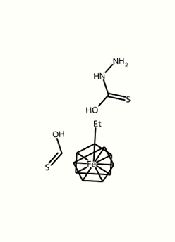 CC[C]12[CH]3[CH]4[CH]5[CH]1[Fe]45321678[CH]2[CH]1[CH]6[CH]7[CH]28.NNC(O)=S.OC=S